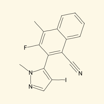 Cc1c(F)c(-c2c(I)cnn2C)c(C#N)c2ccccc12